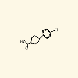 O=C(O)N1CCC(c2ccc(Cl)cc2)CC1